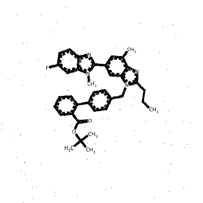 CCCc1nc2c(C)cc(-c3nc4ccc(F)cc4n3C)cc2n1Cc1ccc(-c2ccccc2C(=O)OC(C)(C)C)cc1